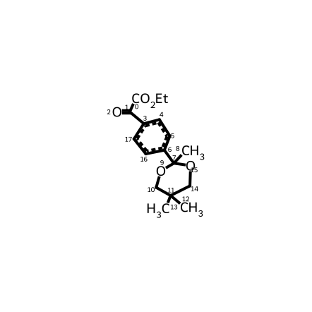 CCOC(=O)C(=O)c1ccc(C2(C)OCC(C)(C)CO2)cc1